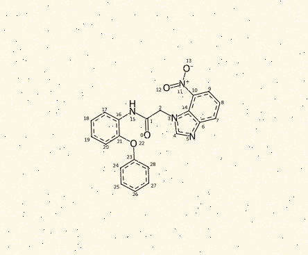 O=C(Cn1cnc2cccc([N+](=O)[O-])c21)Nc1ccccc1Oc1ccccc1